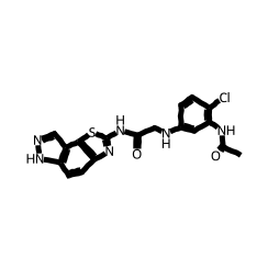 CC(=O)Nc1cc(NCC(=O)Nc2nc3ccc4[nH]ncc4c3s2)ccc1Cl